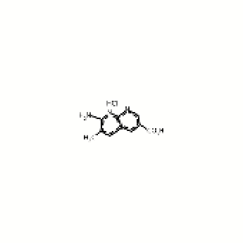 Cc1cc2cc(C(=O)O)cnc2nc1N.Cl